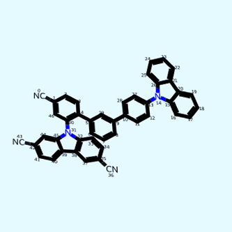 N#Cc1ccc(-c2cccc(-c3ccc(-n4c5ccccc5c5ccccc54)cc3)c2)c(-n2c3ccc(C#N)cc3c3ccc(C#N)cc32)c1